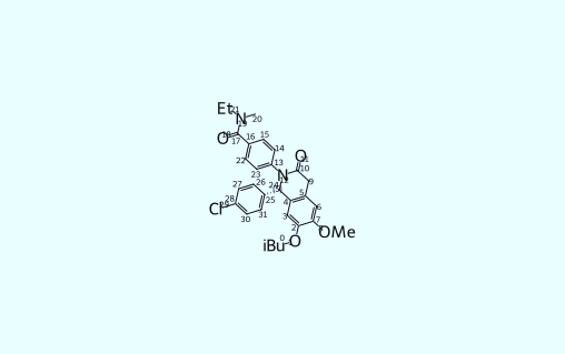 CCC(C)Oc1cc2c(cc1OC)CC(=O)N(c1ccc(C(=O)N(C)CC)cc1)[C@H]2c1ccc(Cl)cc1